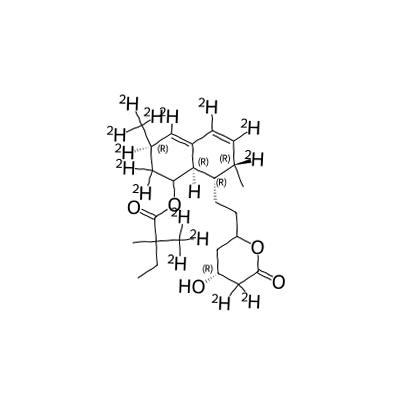 [2H]C1=C([2H])[C@]([2H])(C)[C@H](CCC2C[C@@H](O)C([2H])([2H])C(=O)O2)[C@@H]2C1=C([2H])[C@]([2H])(C([2H])([2H])[2H])C([2H])([2H])C2OC(=O)C(C)(CC)C([2H])([2H])[2H]